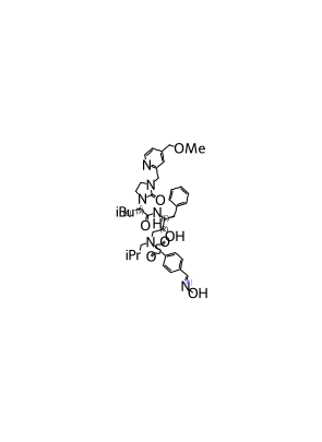 CC[C@H](C)[C@@H](C(=O)N[C@@H](Cc1ccccc1)[C@H](O)CN(CC(C)C)S(=O)(=O)c1ccc(/C=N/O)cc1)N1CCN(Cc2cc(COC)ccn2)C1=O